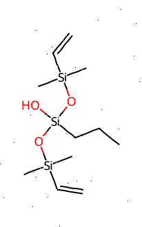 C=C[Si](C)(C)O[Si](O)(CCC)O[Si](C)(C)C=C